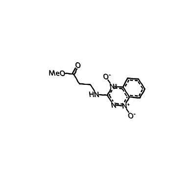 COC(=O)CCNc1n[n+]([O-])c2ccccc2[n+]1[O-]